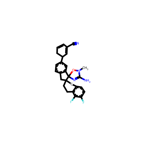 CN1OC2(N=C1N)c1cc(C3C=C(C#N)C=CC3)ccc1CC21CCc2c(ccc(F)c2F)C1